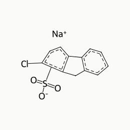 O=S(=O)([O-])c1c(Cl)ccc2c1Cc1ccccc1-2.[Na+]